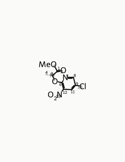 COC(=O)[C@@H](C)Oc1ncc(Cl)cc1[N+](=O)[O-]